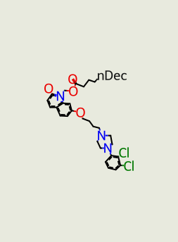 CCCCCCCCCCCCCC(=O)OCn1c(=O)ccc2ccc(OCCCCN3CCN(c4cccc(Cl)c4Cl)CC3)cc21